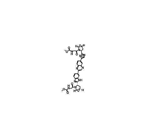 COC(=O)NCC(=O)N1[C@@H]2C[C@@H]2C[C@H]1c1ncc(-c2ccc3nc(-c4ccc5nc([C@@H]6C[C@H]7C[C@H]7N6C(=O)CNC(=O)OC)[nH]c5c4)cnc3c2)[nH]1